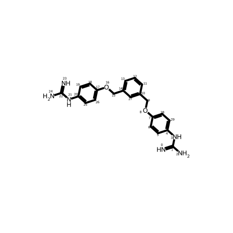 N=C(N)Nc1ccc(OCc2cccc(COc3ccc(NC(=N)N)cc3)c2)cc1